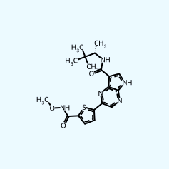 CONC(=O)c1ccc(-c2cnc3[nH]cc(C(=O)N[C@@H](C)C(C)(C)C)c3n2)s1